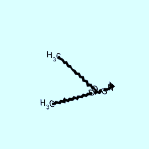 CCCCCC=CCC=CCCCCCCCCOCC(CCOCCN1CC1)OCCCCCCCCC=CCC=CCCCCC